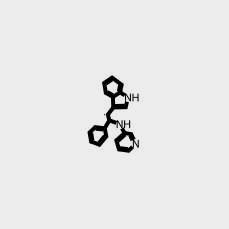 [CH](c1c[nH]c2ccccc12)C(Nc1cccnc1)c1ccccc1